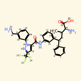 CC(CC(c1ccccc1)c1cccc(NC(=O)c2cc(C(F)(F)F)nn2-c2cccc(CN)c2)c1)[C@H](N)C(=O)O